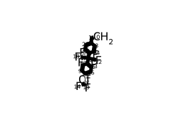 C=Cc1ccc(C(c2cc[c]([Cf]=[C](F)F)cc2)(C(F)(F)F)C(F)(F)F)cc1